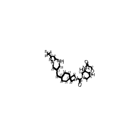 O=C1CO[C@H]2CCN(C(=O)N3CC4(CCC(CC5CNc6cc(C(F)(F)F)nn6C5)CC4)C3)C[C@H]2N1